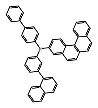 c1ccc(-c2ccc(N(c3cccc(-c4cccc5ccccc45)c3)c3ccc4c(ccc5ccc6ccccc6c54)c3)cc2)cc1